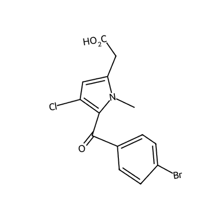 Cn1c(CC(=O)O)cc(Cl)c1C(=O)c1ccc(Br)cc1